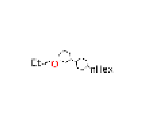 CC/C=C/OC1CCCC(C2CCC(CCCCCC)CC2)C1